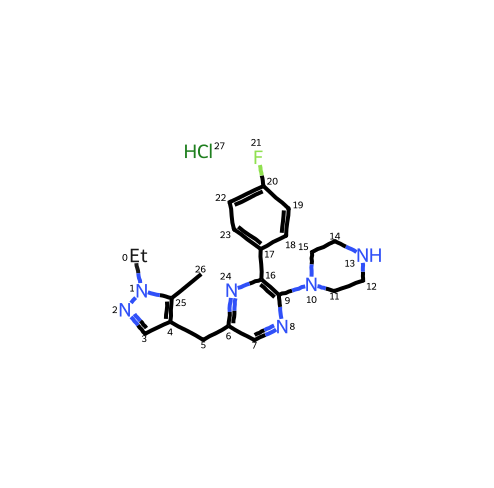 CCn1ncc(Cc2cnc(N3CCNCC3)c(-c3ccc(F)cc3)n2)c1C.Cl